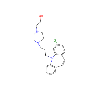 OCCN1CCN(CCCN2c3ccccc3C=Cc3ccc(Cl)cc32)CC1